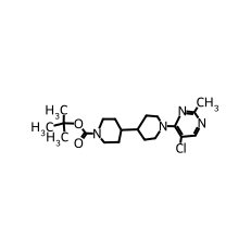 Cc1ncc(Cl)c(N2CCC(C3CCN(C(=O)OC(C)(C)C)CC3)CC2)n1